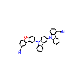 N#Cc1ccc2oc3ccc(-n4c5ccccc5c5cc(-n6c7ccccc7c7c(C#N)cccc76)ccc54)cc3c2c1